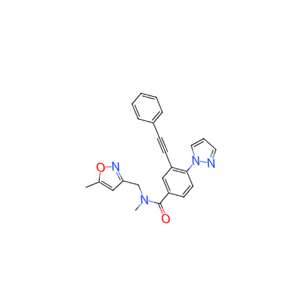 Cc1cc(CN(C)C(=O)c2ccc(-n3cccn3)c(C#Cc3ccccc3)c2)no1